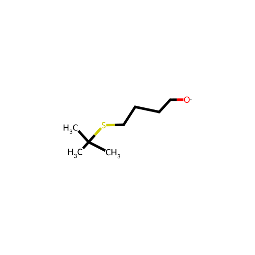 CC(C)(C)SCCCC[O]